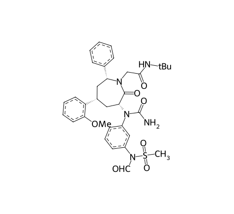 COc1ccccc1[C@@H]1C[C@H](c2ccccc2)N(CC(=O)NC(C)(C)C)C(=O)[C@H](N(C(N)=O)c2cccc(N(C=O)S(C)(=O)=O)c2)C1